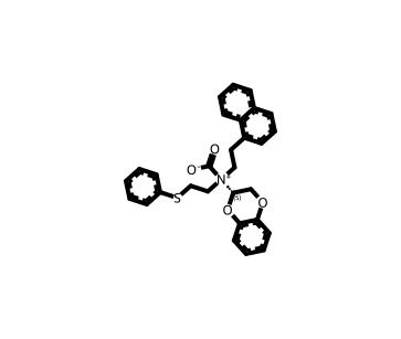 O=C([O-])[N+](CCSc1ccccc1)(CCc1cccc2ccccc12)[C@@H]1COc2ccccc2O1